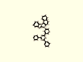 c1ccc(-c2nc(-c3ccccc3)nc(-c3cncc(-n4c5ccc6ccccc6c5n5c6ccccc6nc45)c3)n2)cc1